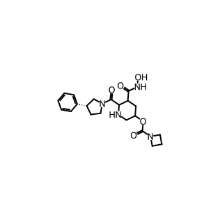 O=C(NO)C1CC(OC(=O)N2CCC2)CNC1C(=O)N1CC[C@H](c2ccccc2)C1